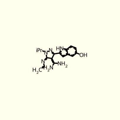 C=C/N=C1\C(=C(N)N)C(c2cc3cc(O)ccc3[nH]2)=NN1C(C)C